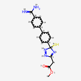 COC(=O)CC1=NC(S)(c2ccc(-c3ccc(C(=N)N)cc3)cc2)N=N1